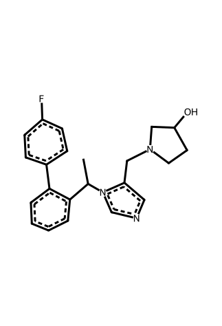 CC(c1ccccc1-c1ccc(F)cc1)n1cncc1CN1CCC(O)C1